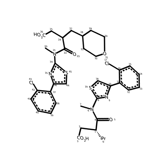 CC(C)[C@H](CC(=O)O)C(=O)N(C)c1nc(-c2ccccc2Cl)cs1.CN(C(=O)C(CC(=O)O)CC1CCOCC1)c1nc(-c2ccccc2Cl)cs1